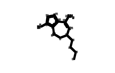 CCCCC1COc2c(Br)csc2C(N)=N1